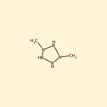 CN1BBN(C)B1